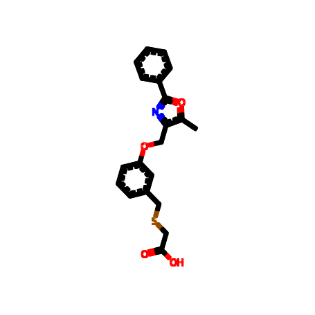 Cc1oc(-c2ccccc2)nc1COc1cccc(CSCC(=O)O)c1